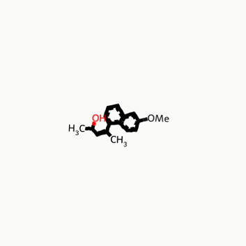 COc1ccc2c(/C(C)=C\C(C)O)cccc2c1